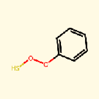 SOOc1ccccc1